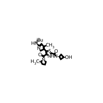 CC[C@H](C)Nc1cc(C)c(-c2sc(C(=O)N[C@H]3C[C@H](O)C3)nc2C(=O)N2CCC[C@@H]2C)cn1